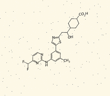 Cc1cc(Nc2nccc(C(F)F)n2)cc(-c2cnc(CC(O)C3CCC(C(=O)O)CC3)s2)c1